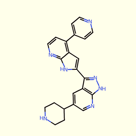 c1cc(-c2ccnc3[nH]c(-c4n[nH]c5ncc(C6CCNCC6)cc45)cc23)ccn1